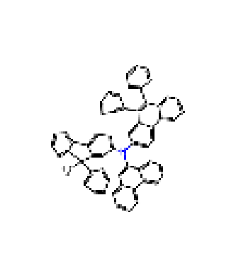 CC1(c2ccccc2)c2ccccc2-c2ccc(N(c3ccc4c(c3)c(-c3ccccc3)c(-c3ccccc3)c3ccccc34)c3cc4ccccc4c4ccccc34)cc21